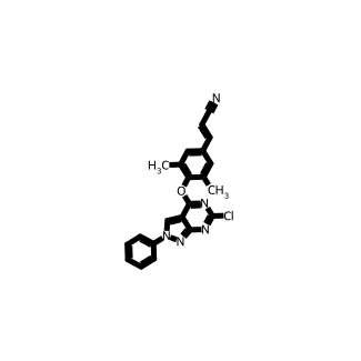 Cc1cc(/C=C/C#N)cc(C)c1Oc1nc(Cl)nc2nn(-c3ccccc3)cc12